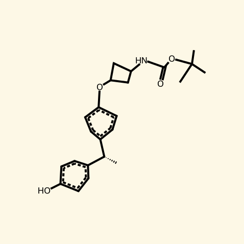 C[C@H](c1ccc(O)cc1)c1ccc(OC2CC(NC(=O)OC(C)(C)C)C2)cc1